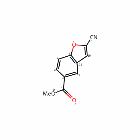 COC(=O)c1ccc2oc(C#N)cc2c1